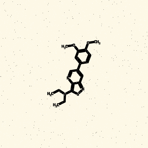 CCN(CC)c1snc2cc(-c3ccc(OC)c(OC)c3)cnc12